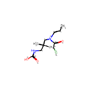 CCCN(CC(C)(C)CNC(=O)O)C(=O)CCl